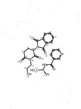 CC(C)[C@H](NC(=O)c1cccnc1)C(=O)O.O=C1CCC(N2C(=O)c3ccccc3C2=O)C(=O)N1CCO